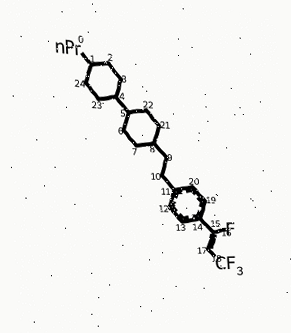 CCCC1CCC(C2CCC(CCc3ccc(/C(F)=C/C(F)(F)F)cc3)CC2)CC1